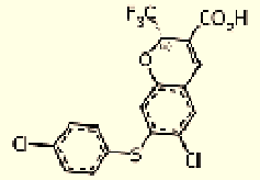 O=C(O)C1=Cc2cc(Cl)c(Sc3ccc(Cl)cc3)cc2O[C@@H]1C(F)(F)F